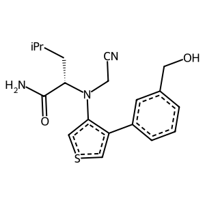 CC(C)C[C@@H](C(N)=O)N(CC#N)c1cscc1-c1cccc(CO)c1